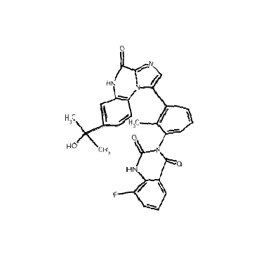 Cc1c(-c2cnc3c(=O)[nH]c4cc(C(C)(C)O)ccc4n23)cccc1-n1c(=O)[nH]c2c(F)cccc2c1=O